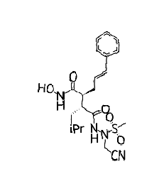 CC(C)C[C@@H](C(=O)NN(CC#N)S(C)(=O)=O)[C@H](CC=Cc1ccccc1)C(=O)NO